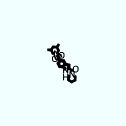 CC1CC(C)CN(S(=O)(=O)c2ccc3[nH]c(C(=O)N4CCCCC4)cc3c2)C1